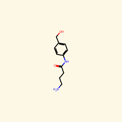 NCCCC(=O)Nc1ccc(CO)cc1